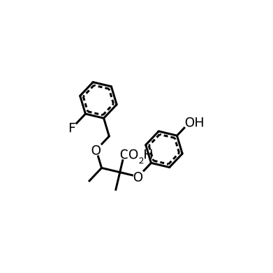 CC(OCc1ccccc1F)C(C)(Oc1ccc(O)cc1)C(=O)O